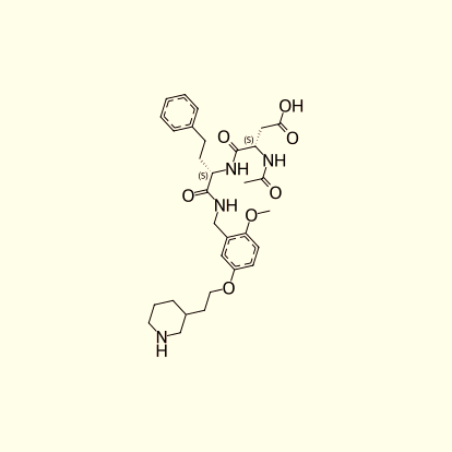 COc1ccc(OCCC2CCCNC2)cc1CNC(=O)[C@H](CCc1ccccc1)NC(=O)[C@H](CC(=O)O)NC(C)=O